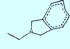 [CH2]CN1Cc2ccccc2C1